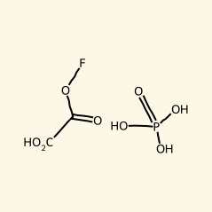 O=C(O)C(=O)OF.O=P(O)(O)O